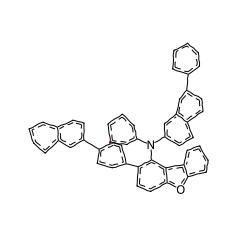 c1ccc(-c2ccc3ccc(N(c4ccccc4)c4c(-c5ccc(-c6ccc7ccccc7c6)cc5)ccc5oc6ccccc6c45)cc3c2)cc1